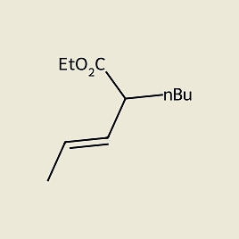 CC=CC(CCCC)C(=O)OCC